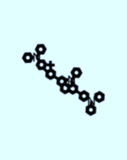 CC1(C)c2cc(-c3cc4ccc5cc(-c6ccc(N(c7ccccc7)c7ccccc7)cc6)cc6c5c4c(c3)n6-c3ccccc3)ccc2-c2ccc(N(c3ccccc3)c3ccccc3)cc21